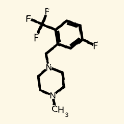 CN1CCN(Cc2cc(F)ccc2C(F)(F)F)CC1